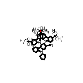 CC(C)(C)c1ccc2c(c1)c1cc(C(C)(C)C)ccc1n2-c1c(C#N)cc2c(c1-n1c3ccc(C(C)(C)C)cc3c3cc(C(C)(C)C)ccc31)c1ccccc1n2-c1ccccc1